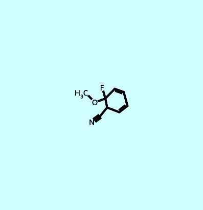 COC1(F)C=CC=CC1C#N